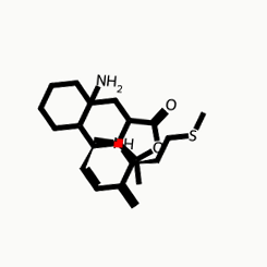 C=C(/C=C\[C@@H]1C2C(C)OC(=O)C2CC2(N)CCCCC12)[C@H](CCSC)NC